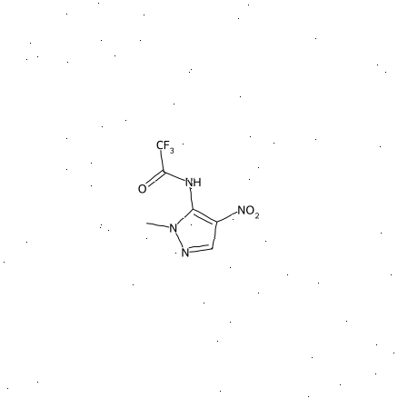 Cn1ncc([N+](=O)[O-])c1NC(=O)C(F)(F)F